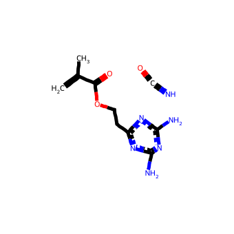 C=C(C)C(=O)OCCc1nc(N)nc(N)n1.N=C=O